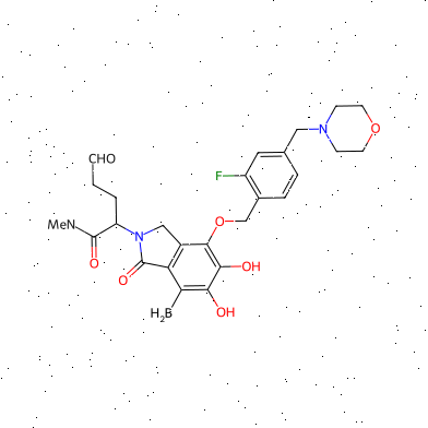 Bc1c(O)c(O)c(OCc2ccc(CN3CCOCC3)cc2F)c2c1C(=O)N(C(CCC=O)C(=O)NC)C2